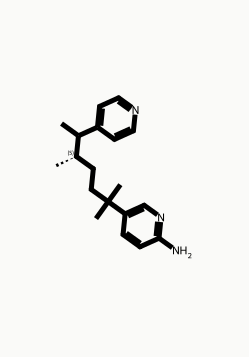 CC(c1ccncc1)[C@@H](C)CCC(C)(C)c1ccc(N)nc1